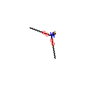 CCCCCCCCCCCCOCCOCCc1nc2cscc2nc1CCOCCOCCCCCCCCCCCC